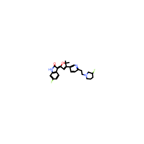 CC1(C)OC(=C2C(=O)Nc3cc(F)ccc32)C=C1c1ccc(CCN2CCCC(F)C2)nc1